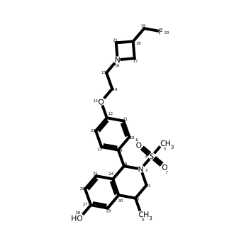 CC1CN(S(C)(=O)=O)C(c2ccc(OCCN3CC(CF)C3)cc2)c2ccc(O)cc21